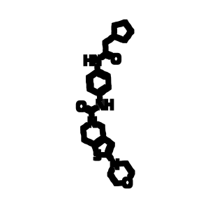 O=C(CC1CCCC1)Nc1ccc(NC(=O)N2CCc3sc(N4CCOCC4)cc3C2)cc1